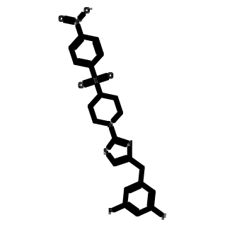 O=[N+]([O-])c1ccc(S(=O)(=O)C2CCN(c3nc(Cc4cc(F)cc(F)c4)cs3)CC2)cc1